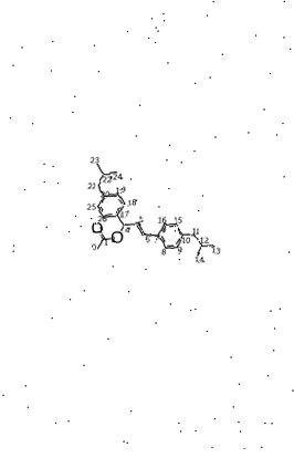 CC(=O)OC(/C=C/c1ccc(CC(C)C)cc1)c1ccc(CC(C)C)cc1